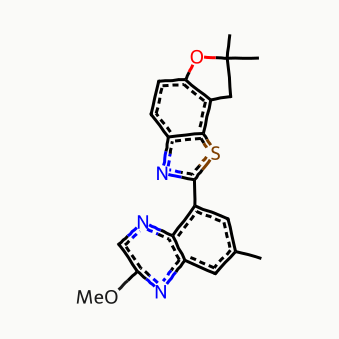 COc1cnc2c(-c3nc4ccc5c(c4s3)CC(C)(C)O5)cc(C)cc2n1